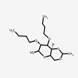 CCCCOC1[C@H](OCCCC)C(O)OC2COC(C)O[C@@H]21